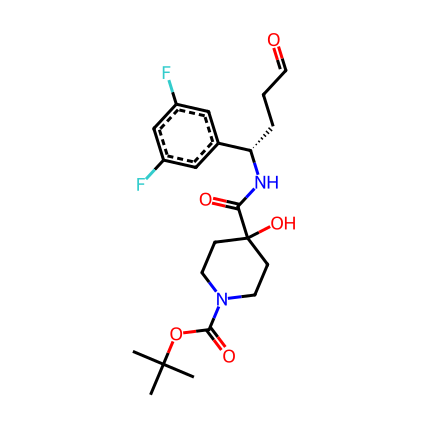 CC(C)(C)OC(=O)N1CCC(O)(C(=O)N[C@@H](CCC=O)c2cc(F)cc(F)c2)CC1